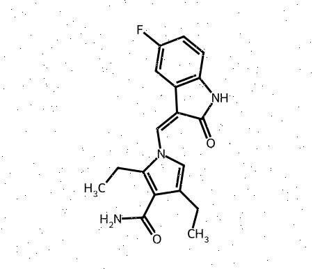 CCc1cn(C=C2C(=O)Nc3ccc(F)cc32)c(CC)c1C(N)=O